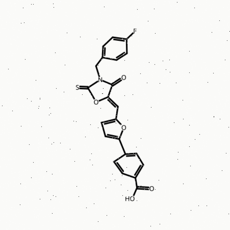 O=C(O)c1ccc(-c2ccc(/C=C3\OC(=S)N(Cc4ccc(F)cc4)C3=O)o2)cc1